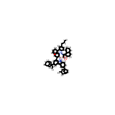 CCCCc1ccc(N2c3cc(C)cc4c3B(c3oc5ccc6ccccc6c5c32)n2c3ccc(C56CC=C(CC(C)C5)C6)cc3c3cc(C5(CC)CC6CCC(C6)C5)cc-4c32)c(-c2ccccc2)c1